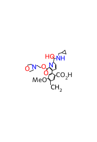 C=Cc1cc(C(=O)O)c(-c2ccc(C(O)NCC3CC3)nc2C(=O)OCCN2CCOCC2)cc1OC